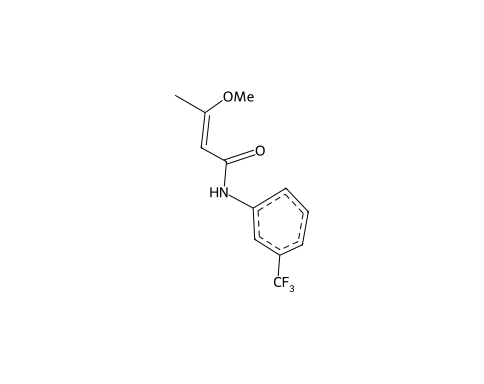 CO/C(C)=C\C(=O)Nc1cccc(C(F)(F)F)c1